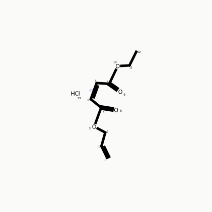 C=CCOC(=O)/C=C\C(=O)OCC.Cl